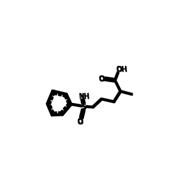 CC(CCCS(=N)(=O)c1ccccc1)C(=O)O